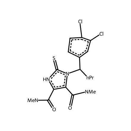 CCCC(c1ccc(Cl)c(Cl)c1)n1c(C(=O)NC)c(C(=O)NC)[nH]c1=S